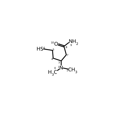 CN(C)C(CCS)CC(N)=O